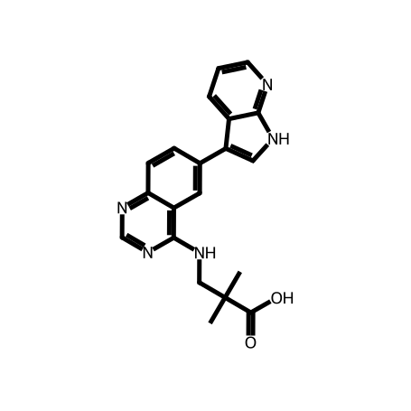 CC(C)(CNc1ncnc2ccc(-c3c[nH]c4ncccc34)cc12)C(=O)O